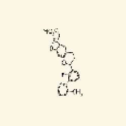 Cc1ccccc1-c1cccc(C2CCc3cc4c(cc3O2)OC[C@H]4CC(=O)O)c1F